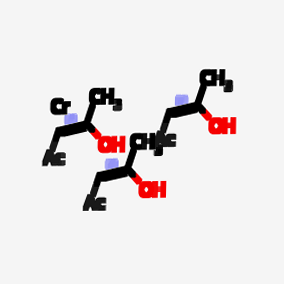 CC(=O)/C=C(/C)O.CC(=O)/C=C(/C)O.CC(=O)/C=C(/C)O.[Cr]